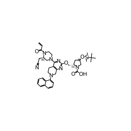 C=CC(=O)N1CCN(c2nc(OC[C@@H]3C[C@@H](O[Si](C)(C)C(C)(C)C)CN3C(=O)O)nc3c2CCN(c2cccc4ccccc24)C3)C[C@H]1CC#N